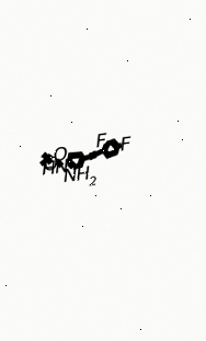 CC(C)(C)OC(=O)Nc1ccc(C#Cc2ccc(F)cc2F)cc1N